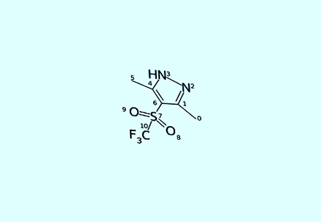 Cc1n[nH]c(C)c1S(=O)(=O)C(F)(F)F